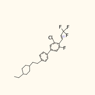 CCC1CCC(CCc2ccc(-c3cc(F)c(/C=C/C(F)(F)F)c(Cl)c3)cc2)CC1